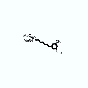 CO[SiH](OC)OCCCCCCCc1cc(C(F)(F)F)cc(C(F)(F)F)c1